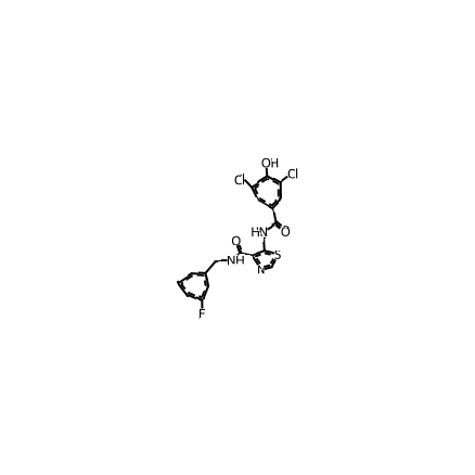 O=C(Nc1scnc1C(=O)NCc1cccc(F)c1)c1cc(Cl)c(O)c(Cl)c1